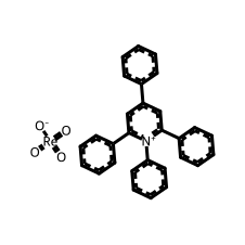 [O]=[Re](=[O])(=[O])[O-].c1ccc(-c2cc(-c3ccccc3)[n+](-c3ccccc3)c(-c3ccccc3)c2)cc1